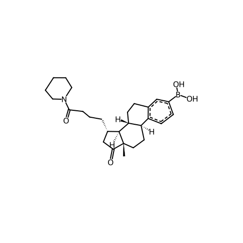 C[C@]12CC[C@@H]3c4ccc(B(O)O)cc4CC[C@H]3[C@@H]1[C@@H](CCCC(=O)N1CCCCC1)CC2=O